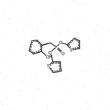 O=P(Cc1ccccc1O)(Oc1cccs1)Oc1cccs1